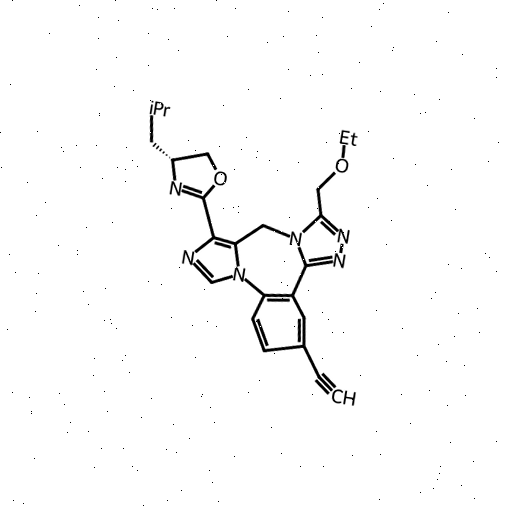 C#Cc1ccc2c(c1)-c1nnc(COCC)n1Cc1c(C3=N[C@H](CC(C)C)CO3)ncn1-2